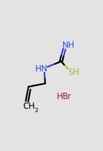 Br.C=CCNC(=N)S